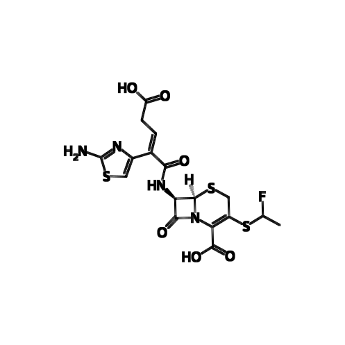 CC(F)SC1=C(C(=O)O)N2C(=O)[C@@H](NC(=O)/C(=C/CC(=O)O)c3csc(N)n3)[C@H]2SC1